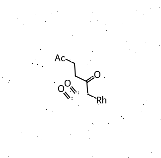 CC(=O)CCC(=O)[CH2][Rh].[C]=O.[C]=O